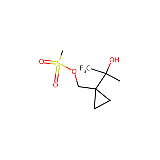 CC(O)(C(F)(F)F)C1(COS(C)(=O)=O)CC1